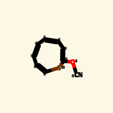 N#COc1cccccccs1